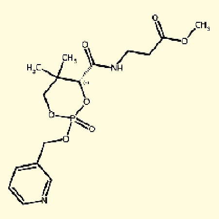 COC(=O)CCNC(=O)[C@@H]1OP(=O)(OCc2cccnc2)OCC1(C)C